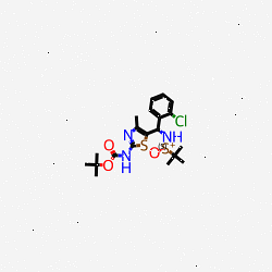 Cc1nc(NC(=O)OC(C)(C)C)sc1C(N[S@+]([O-])C(C)(C)C)c1ccccc1Cl